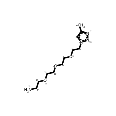 Cc1cn(CCOCCOCCOCCN)nn1